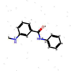 CNc1cccc(C(=O)Nc2ccccc2)c1